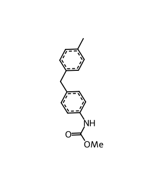 COC(=O)Nc1ccc(Cc2ccc(C)cc2)cc1